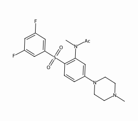 CC(=O)N(C)c1cc(N2CCN(C)CC2)ccc1S(=O)(=O)c1cc(F)cc(F)c1